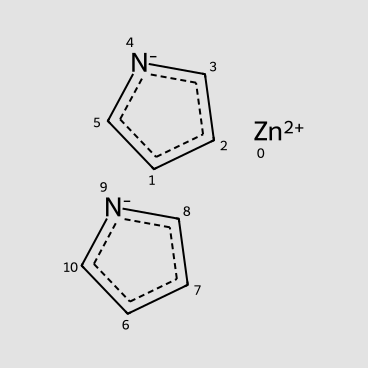 [Zn+2].c1cc[n-]c1.c1cc[n-]c1